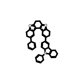 C1=CCC(C2=Cc3c(oc4c3-c3c(oc5c3C=C(C3=CC6C7=C(C=CCC7)N(C7C=CC=CC7)C6C=C3)CC5)CC4)CC2)C=C1